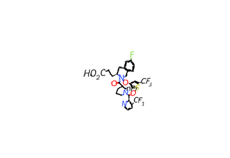 CCC[C@H]1N(C(=O)c2ncccc2C(F)(F)F)CCC[C@@]1(Oc1csc(C(F)(F)F)c1)C(=O)N1Cc2ccc(F)cc2C[C@@H]1CCC(=O)O